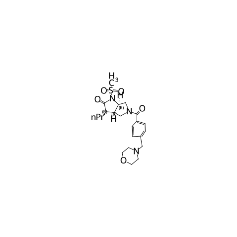 CCC[C@H]1C(=O)N(S(C)(=O)=O)[C@H]2CN(C(=O)c3ccc(CN4CCOCC4)cc3)C[C@H]12